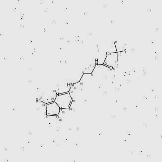 CC(C)(C)OC(=O)NCCCNc1ccn2ncc(Br)c2n1